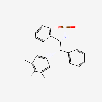 Cc1cccc(C)c1C.N[C@@H](c1ccccc1)[C@@H](NS(=O)(=O)C(F)(F)F)c1ccccc1.[Ru]